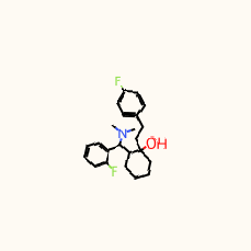 CN(C)C(c1ccccc1F)C1CCCCC1(O)CCc1ccc(F)cc1